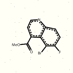 COC(=O)c1ccnc2ccc(F)c(Br)c12